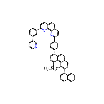 C=Cc1ccc(-c2ccc(-c3ccc4ccc5ccc(-c6cccc(-c7cccnc7)c6)nc5c4n3)cc2)c2ccc3ccc(-c4cccc5ccccc45)c(C)c3c12